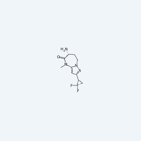 CN1C(=O)[C@H](N)CCn2nc(C3CC3(F)F)cc21